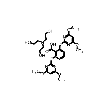 COc1cc(OC)nc(Oc2cccc(Oc3nc(OC)cc(OC)n3)c2C(=O)O)n1.OCCN(CCO)CCO